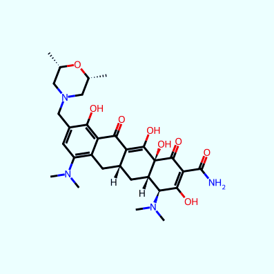 C[C@@H]1CN(Cc2cc(N(C)C)c3c(c2O)C(=O)C2=C(O)[C@]4(O)C(=O)C(C(N)=O)=C(O)[C@@H](N(C)C)[C@@H]4C[C@@H]2C3)C[C@H](C)O1